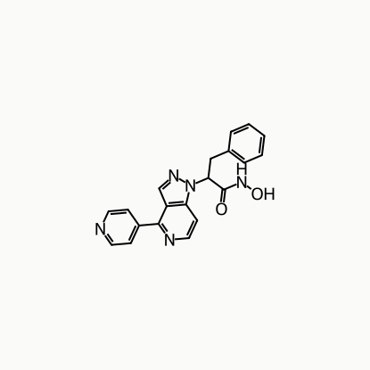 O=C(NO)C(Cc1ccccc1)n1ncc2c(-c3ccncc3)nccc21